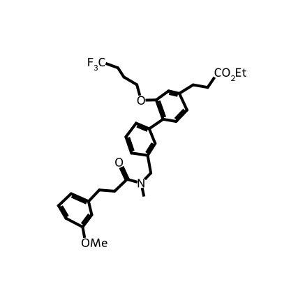 CCOC(=O)CCc1ccc(-c2cccc(CN(C)C(=O)CCc3cccc(OC)c3)c2)c(OCCCC(F)(F)F)c1